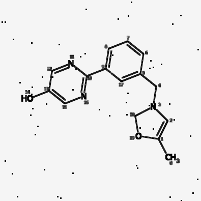 CC1=CN(Cc2cccc(-c3ncc(O)cn3)c2)CO1